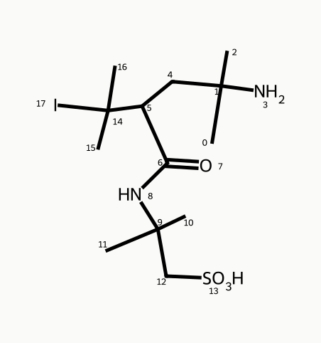 CC(C)(N)CC(C(=O)NC(C)(C)CS(=O)(=O)O)C(C)(C)I